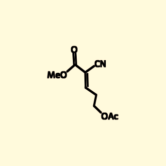 COC(=O)C(C#N)=CCCOC(C)=O